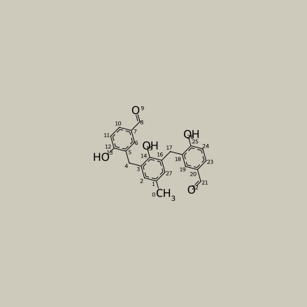 Cc1cc(Cc2cc(C=O)ccc2O)c(O)c(Cc2cc(C=O)ccc2O)c1